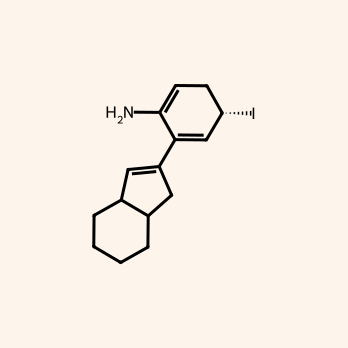 NC1=CC[C@H](I)C=C1C1=CC2CCCCC2C1